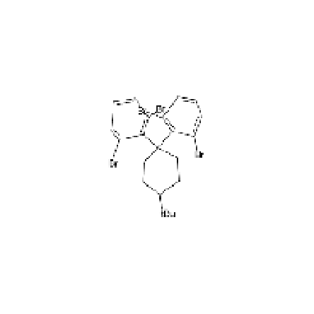 CC(C)(C)C1CCC(c2c(Br)cccc2Br)(c2c(Br)cccc2Br)CC1